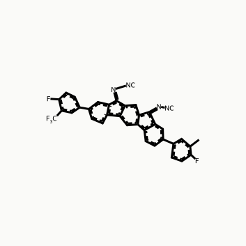 [C-]#[N+]/N=c1/c2cc(-c3ccc(F)c(C(F)(F)F)c3)ccc2c2cc3c(cc12)/c(=N/[N+]#[C-])c1cc(-c2ccc(F)c(C)c2)ccc13